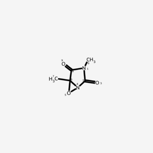 CN1C(=O)N2OC2(C)C1=O